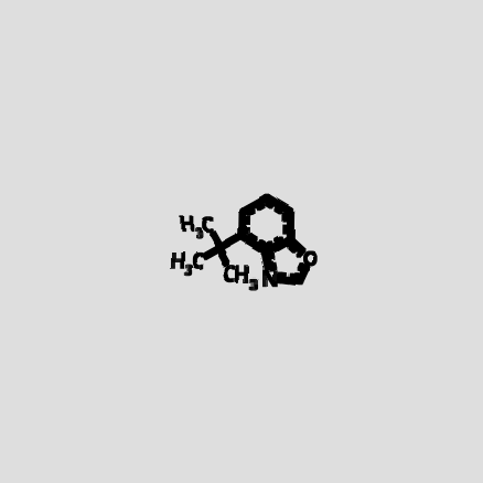 CC(C)(C)c1cccc2ocnc12